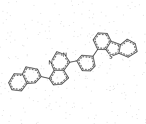 c1cc(-c2ncnc3c(-c4ccc5ccccc5c4)cccc23)cc(-c2cccc3c2sc2ccccc23)c1